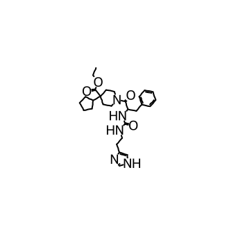 CCOC(=O)C1(C2CCCC2)CCN(C(=O)C(Cc2ccccc2)NC(=O)NCCc2c[nH]cn2)CC1